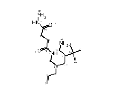 CCCC(CNC(=O)CCC(=O)NN)CC(CN)C(C)(C)C